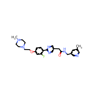 Cc1cncc(CNC(=O)Cc2cnc(-c3ccc(OCCN4CCN(C)CC4)cc3F)nc2)c1